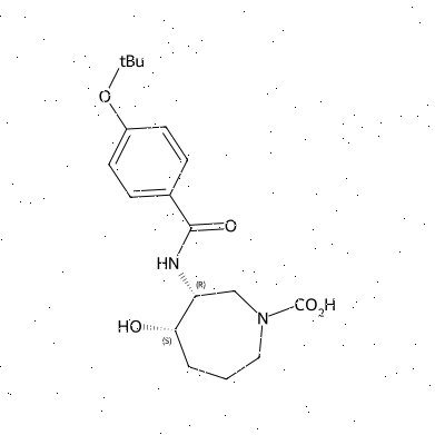 CC(C)(C)Oc1ccc(C(=O)N[C@@H]2CN(C(=O)O)CCC[C@@H]2O)cc1